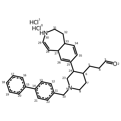 Cl.Cl.O=CCCC1CCN(Cc2ccc(-c3ccccc3)cc2)CC1C1=CC2C=CNCCC2C=C1